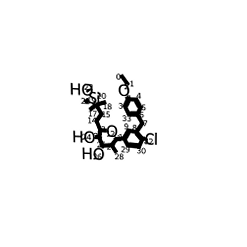 CCOc1ccc(Cc2cc(C3OC(CCC(C)(C)[Si](C)(C)O)C(O)C(O)C3C)ccc2Cl)cc1